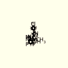 CCC(O)(c1ccc(F)cc1F)C(c1cc(-c2ccc(Cl)cc2)no1)n1cnnn1